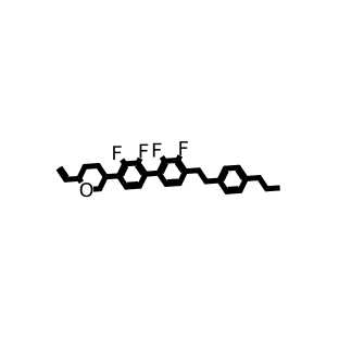 C=CC1CCC(c2ccc(-c3ccc(CCc4ccc(CCC)cc4)c(F)c3F)c(F)c2F)CO1